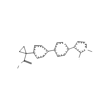 COC(=O)C1(c2ccc(-c3ccc(-c4cnn(C)c4N)nc3)cc2)CC1